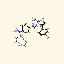 CN1CCCN(C(=N)c2ccc(-c3cn4c(-c5ccc(C#N)cc5)cnc4cn3)cc2)CC1